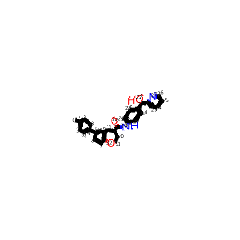 Cc1ccc(-c2ccc3c(c2)C=C(C(=O)Nc2ccc(C(O)c4ccccn4)cc2)CCO3)cc1